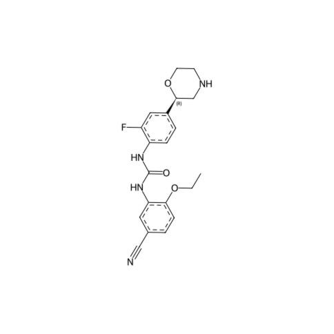 CCOc1ccc(C#N)cc1NC(=O)Nc1ccc([C@@H]2CNCCO2)cc1F